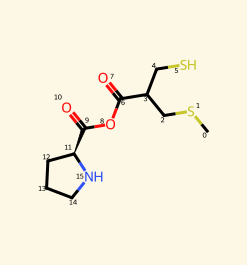 CSCC(CS)C(=O)OC(=O)[C@@H]1CCCN1